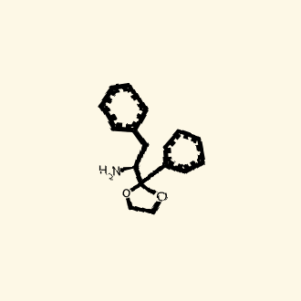 N[C@@H](Cc1ccccc1)C1(c2ccccc2)OCCO1